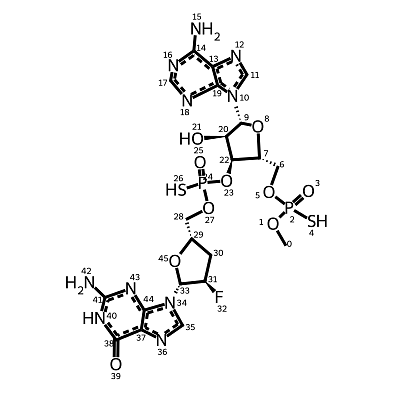 COP(=O)(S)OC[C@H]1O[C@@H](n2cnc3c(N)ncnc32)[C@H](O)[C@@H]1OP(=O)(S)OC[C@@H]1C[C@@H](F)[C@H](n2cnc3c(=O)[nH]c(N)nc32)O1